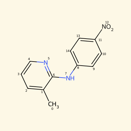 Cc1cccnc1Nc1ccc([N+](=O)[O-])cc1